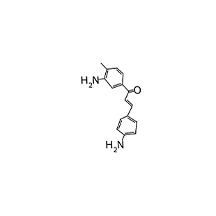 Cc1ccc(C(=O)C=Cc2ccc(N)cc2)cc1N